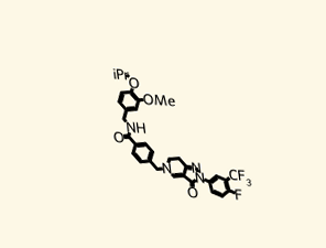 COc1cc(CNC(=O)c2ccc(CN3C=C4C(=O)N(c5ccc(F)c(C(F)(F)F)c5)N=C4CC3)cc2)ccc1OC(C)C